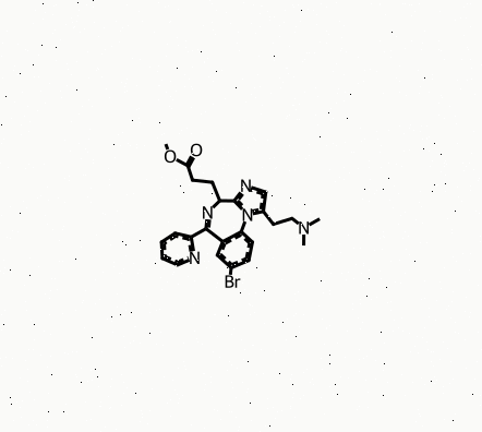 COC(=O)CCC1N=C(c2ccccn2)c2cc(Br)ccc2-n2c(CCN(C)C)cnc21